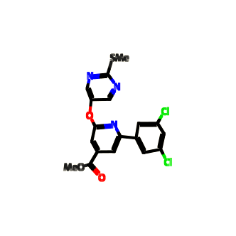 COC(=O)c1cc(Oc2cnc(SC)nc2)nc(-c2cc(Cl)cc(Cl)c2)c1